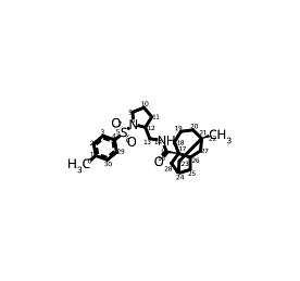 Cc1ccc(S(=O)(=O)N2CCCC2CNC(=O)[C@@]23CCC[C@@]4(C)CC(CC2C4)C3)cc1